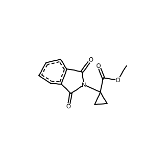 COC(=O)C1(N2C(=O)c3ccccc3C2=O)CC1